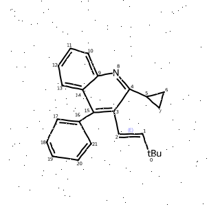 CC(C)(C)/C=C/c1c(C2CC2)nc2ccccc2c1-c1ccccc1